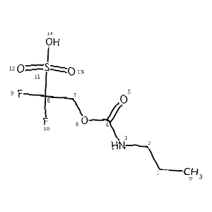 CCCNC(=O)OCC(F)(F)S(=O)(=O)O